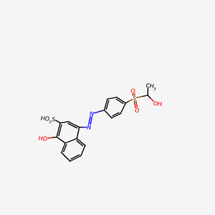 CC(O)S(=O)(=O)c1ccc(N=Nc2cc(S(=O)(=O)O)c(O)c3ccccc23)cc1